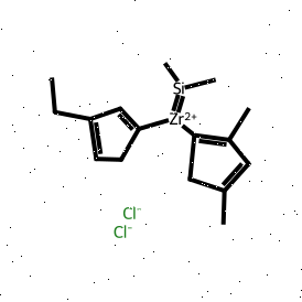 CCC1=CC[C]([Zr+2]([C]2=C(C)C=C(C)C2)=[Si](C)C)=C1.[Cl-].[Cl-]